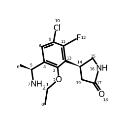 CCOc1c([C@H](C)N)cc(Cl)c(F)c1[C@H]1CNC(=O)C1